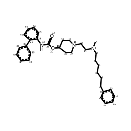 CN(CCCCCCc1ccccc1)CCN1CCC(OC(=O)Nc2ccccc2-c2ccccc2)CC1